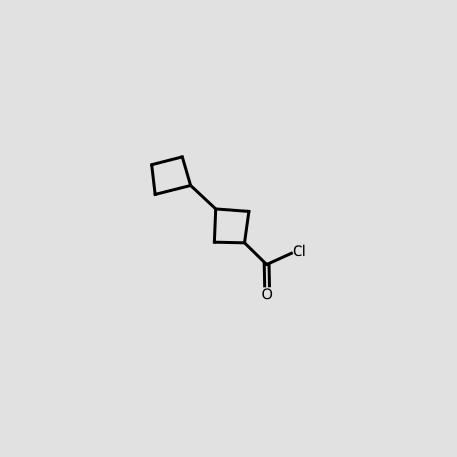 O=C(Cl)C1CC(C2CCC2)C1